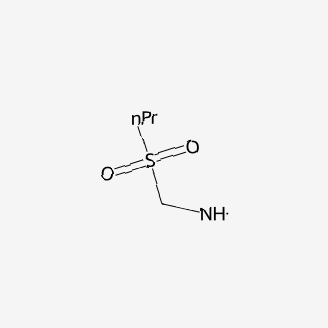 CCCS(=O)(=O)C[NH]